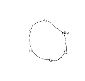 C1COCCOCCNCCSCCOCCN1